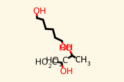 CC(O)C(=O)O.O=C(O)CO.OCCCCCCO